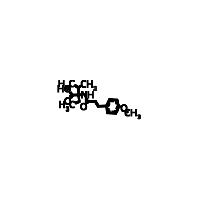 CCC(NC(=O)CCc1ccc(OC)cc1)(C(=O)O)C(C)C